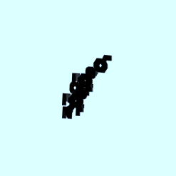 CC[C@H]1CC[C@H](COc2cc(F)c(C(=O)Oc3cc(F)c(C#N)c(F)c3)c(F)c2)CC1